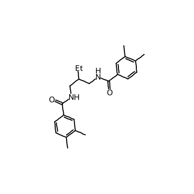 CCC(CNC(=O)c1ccc(C)c(C)c1)CNC(=O)c1ccc(C)c(C)c1